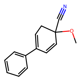 COC1(C#N)C=CC(c2ccccc2)=CC1